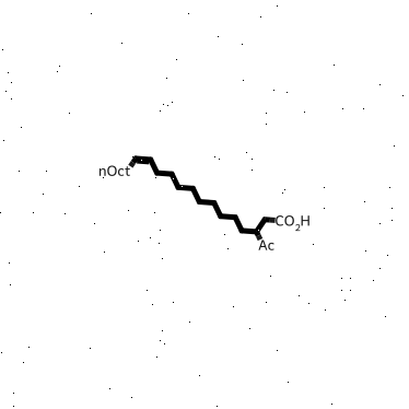 CCCCCCCC/C=C\CCCCCCCCCC(CC(=O)O)C(C)=O